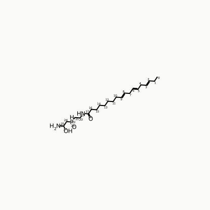 CCC=CCC=CCC=CCCCCCCCC(=O)NCC[PH](=O)CC(N)O